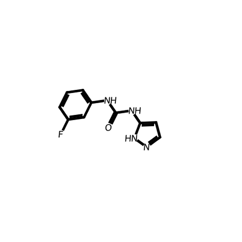 O=C(Nc1cccc(F)c1)Nc1ccn[nH]1